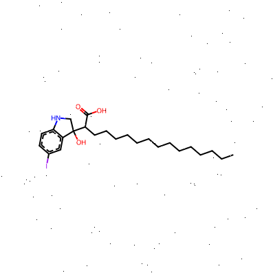 CCCCCCCCCCCCCCC(C(=O)O)C1(O)CNc2ccc(I)cc21